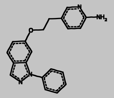 Nc1ccc(CCOc2ccc3cnn(-c4ccccc4)c3c2)cn1